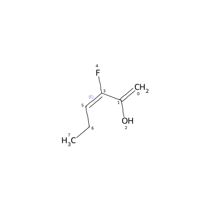 C=C(O)/C(F)=C\CC